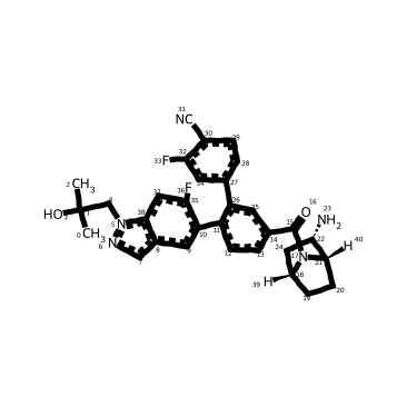 CC(C)(O)Cn1ncc2cc(-c3ccc(C(=O)N4[C@@H]5CC[C@H]4[C@@H](N)C5)cc3-c3ccc(C#N)c(F)c3)c(F)cc21